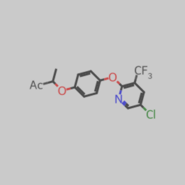 CC(=O)C(C)Oc1ccc(Oc2ncc(Cl)cc2C(F)(F)F)cc1